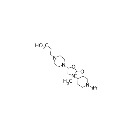 CC(C)N1CCC([N+]2(C)CC(N3CCN(CCC(=O)O)CC3)OC2=O)CC1